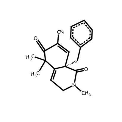 CN1CC=C2C(C)(C)C(=O)C(C#N)=C[C@@]2(Cc2ccccc2)C1=O